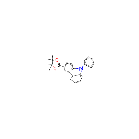 CC1(C)OB(c2ccc3c(c2)C2CC=CC=C2N3c2ccccc2)OC1(C)C